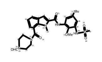 COc1c(NC(=O)c2cc3cccc(C(=O)N4CCN(C=O)CC4)c3n2C)cc(C(C)(C)C)cc1NS(C)(=O)=O